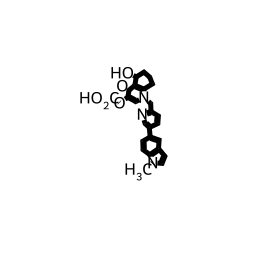 Cn1ccc2cc(-c3ccc(Cn4cc(OC(=O)O)c(=O)c5c4CCCC5O)nc3)ccc21